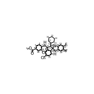 COC(=O)c1ccc(NC(=O)C(C2CCCCC2)C2(c3ccc(Cl)cc3)Nc3cc(F)c(F)cc3N2)c(Cl)c1